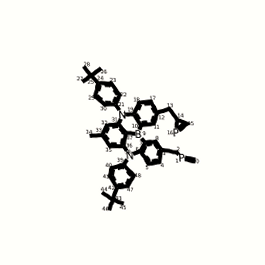 C=PCc1ccc2c(c1)B1c3cc(CC4C=P4)ccc3N(c3ccc(C(C)(C)C)cc3)c3cc(C)cc(c31)N2c1ccc(C(C)(C)C)cc1